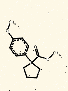 COC(=O)C1(c2ccc(OC)cc2)CCCC1